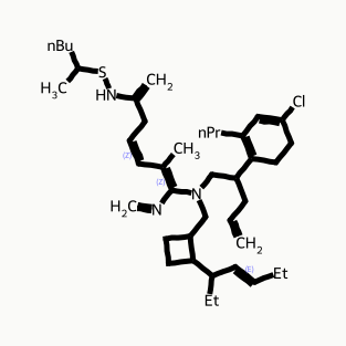 C=CCC(CN(CC1CCC1C(/C=C/CC)CC)/C(N=C)=C(C)/C=C\CC(=C)NSC(C)CCCC)C1=C(CCC)C=C(Cl)CC1